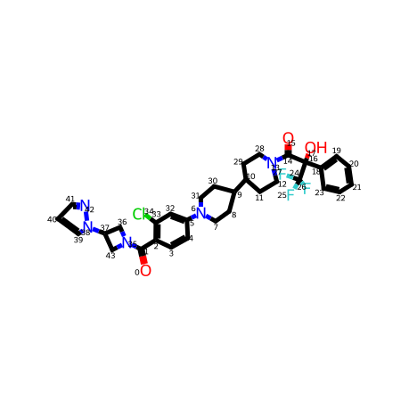 O=C(c1ccc(N2CCC(C3CCN(C(=O)C(O)(c4ccccc4)C(F)(F)F)CC3)CC2)cc1Cl)N1CC(n2cccn2)C1